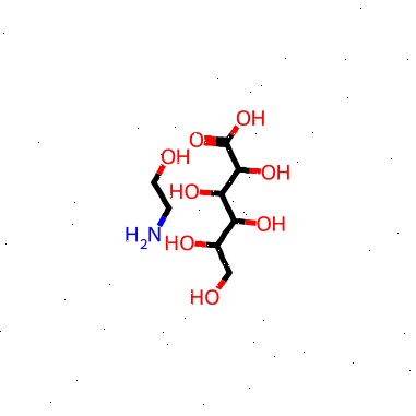 NCCO.O=C(O)C(O)C(O)C(O)C(O)CO